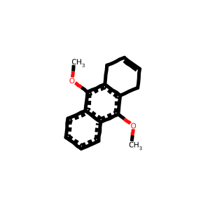 COc1c2c(c(OC)c3ccccc13)CC=CC2